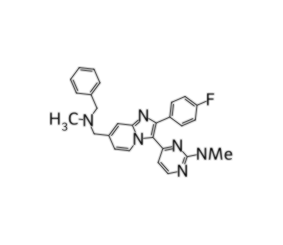 CNc1nccc(-c2c(-c3ccc(F)cc3)nc3cc(CN(C)Cc4ccccc4)ccn23)n1